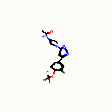 CC(=O)NC1CN(c2cc(-c3ccc(OC(F)(F)F)c(F)c3)ncn2)C1